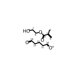 C=C(C)C(=O)OCCO.O=CCCCC=O